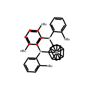 CCCCc1ccccc1P(c1ccccc1CCCC)[C]12[CH]3[CH]4[CH]5[C]1(P(c1ccccc1CCCC)c1ccccc1CCCC)[Ni]43521678[CH]2[CH]1[CH]6[CH]7[CH]28